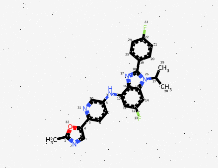 Cc1ncc(-c2ccc(Nc3cc(F)cc4c3nc(-c3ccc(F)cc3)n4C(C)C)cn2)o1